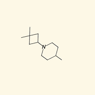 CC1CCN(C2CC(C)(C)C2)CC1